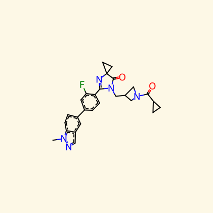 Cn1ncc2cc(-c3ccc(C4=NC5(CC5)C(=O)N4CC4CN(C(=O)C5CC5)C4)c(F)c3)ccc21